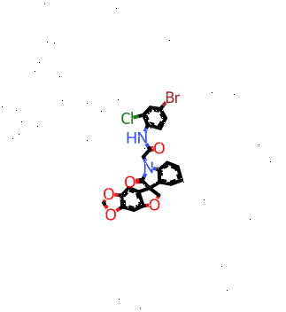 O=C(CN1C(=O)C2(COc3cc4c(cc32)OCO4)c2ccccc21)Nc1ccc(Br)cc1Cl